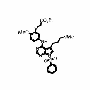 CCOC(=O)COc1cc(Nc2ncnc3c2c(CCCNC)cn3S(=O)(=O)c2ccccc2)ccc1OC